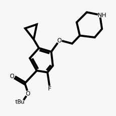 CC(C)(C)OC(=O)c1cc(C2CC2)c(OCC2CCNCC2)cc1F